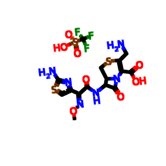 CON=C(C(=O)NC1C(=O)N2C(C(=O)O)=C(CN)SCC12)c1csc(N)n1.O=S(=O)(O)C(F)(F)F